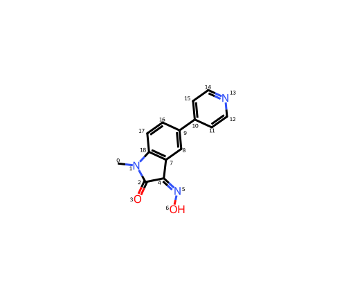 CN1C(=O)C(=NO)c2cc(-c3ccncc3)ccc21